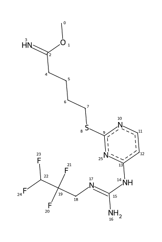 COC(=N)CCCCSc1nccc(NC(N)=NCC(F)(F)C(F)F)n1